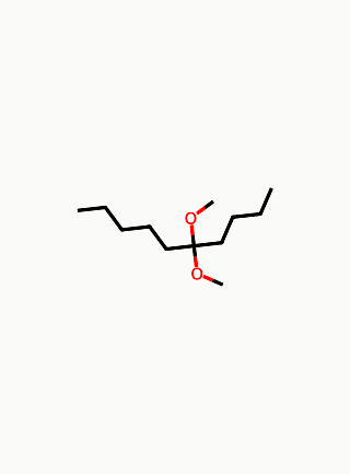 CCCCCC(CCCC)(OC)OC